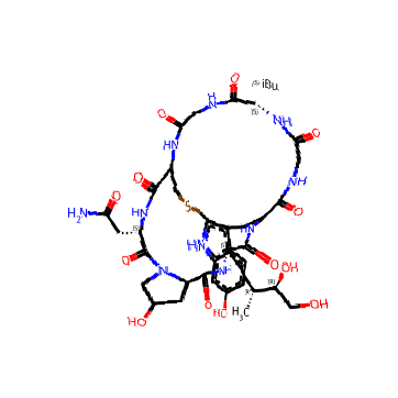 CC[C@H](C)[C@@H]1NC(=O)CNC(=O)C2Cc3c([nH]c4cc(O)ccc34)SCC(NC(=O)CNC1=O)C(=O)N[C@@H](CC(N)=O)C(=O)N1CC(O)CC1C(=O)N[C@@H]([C@@H](C)[C@@H](O)CO)C(=O)N2